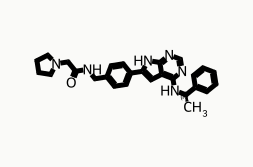 C[C@@H](Nc1ncnc2[nH]c(-c3ccc(CNC(=O)CN4CCCC4)cc3)cc12)c1ccccc1